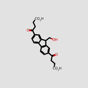 O=C(O)CCC(=O)c1ccc2c(c1)C(CO)c1cc(C(=O)CCC(=O)O)ccc1-2